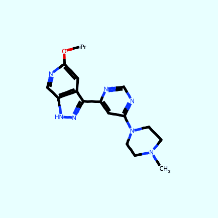 CC(C)Oc1cc2c(-c3cc(N4CCN(C)CC4)ncn3)n[nH]c2cn1